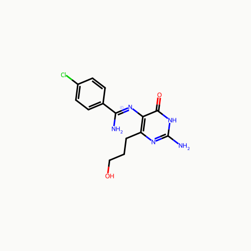 N/C(=N\c1c(CCCO)nc(N)[nH]c1=O)c1ccc(Cl)cc1